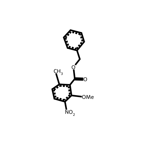 COc1c([N+](=O)[O-])ccc(C)c1C(=O)OCc1ccccc1